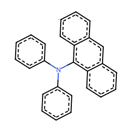 [c]1ccc2cc3ccccc3c(N(c3ccccc3)c3ccccc3)c2c1